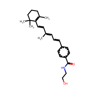 CC1=C(/C=C/C(C)=C/C=C/c2ccc(C(=O)NCCO)cc2)C(C)(C)CCC1